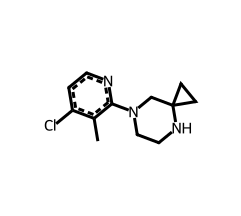 Cc1c(Cl)ccnc1N1CCNC2(CC2)C1